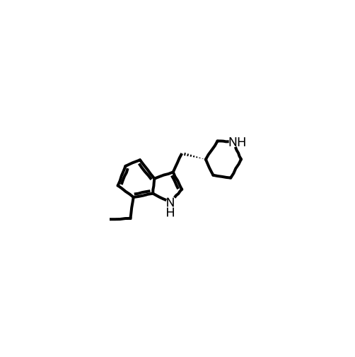 CCc1cccc2c(C[C@H]3CCCNC3)c[nH]c12